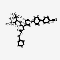 CNC(=O)C(NC(=O)C(CC(=O)OCc1ccccc1)c1ccn(-c2ccc(-c3ccc(C#N)cc3)cc2)c1)C(C)(C)C